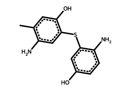 Cc1cc(O)c(Sc2cc(O)ccc2N)cc1N